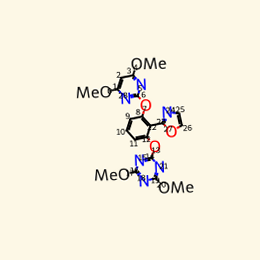 COc1cc(OC)nc(Oc2cccc(Oc3nc(OC)nc(OC)n3)c2-c2ncco2)n1